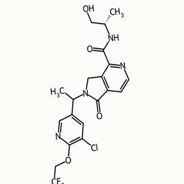 CC(c1cnc(OCC(F)(F)F)c(Cl)c1)N1Cc2c(ccnc2C(=O)N[C@@H](C)CO)C1=O